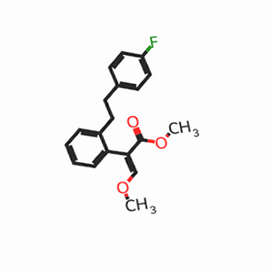 CO/C=C(/C(=O)OC)c1ccccc1CCc1ccc(F)cc1